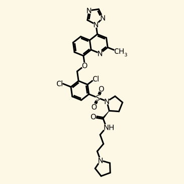 Cc1cc(-n2cncn2)c2cccc(OCc3c(Cl)ccc(S(=O)(=O)N4CCC[C@H]4C(=O)NCCCN4CCCC4)c3Cl)c2n1